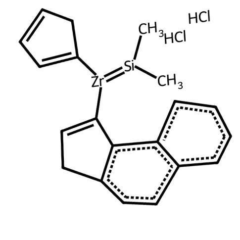 C[Si](C)=[Zr]([C]1=CC=CC1)[C]1=CCc2ccc3ccccc3c21.Cl.Cl